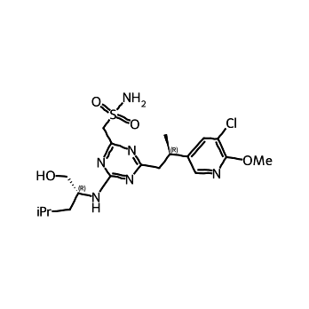 COc1ncc([C@H](C)Cc2nc(CS(N)(=O)=O)nc(N[C@@H](CO)CC(C)C)n2)cc1Cl